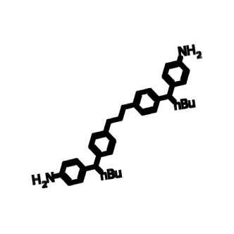 CCCCC(c1ccc(N)cc1)c1ccc(CCCc2ccc(C(CCCC)c3ccc(N)cc3)cc2)cc1